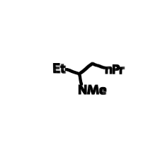 [CH2]CC(CCCC)NC